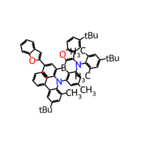 Cc1cc2c3c(c1)N(c1c(C)cc(C(C)(C)C)cc1C)c1c(oc4ccc(C(C)(C)C)cc14)B3c1cc(-c3cc4ccccc4o3)ccc1N2c1c(C)cc(C(C)(C)C)cc1-c1ccccc1